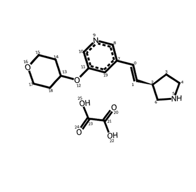 C(=C\[C@H]1CCNC1)/c1cncc(OC2CCOCC2)c1.O=C(O)C(=O)O